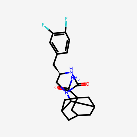 NC(=O)C12CC3CC(C1)C(N1C[C@@H](Cc4ccc(F)c(F)c4)NC1=O)C(C3)C2